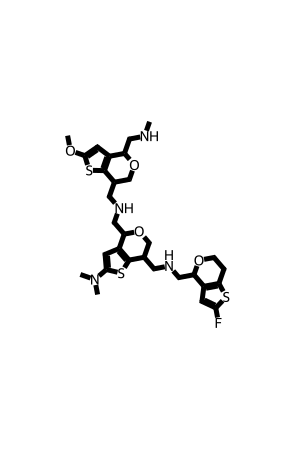 CNCC1OCC(CNCC2OCC(CNCC3OCCc4sc(F)cc43)c3sc(N(C)C)cc32)c2sc(OC)cc21